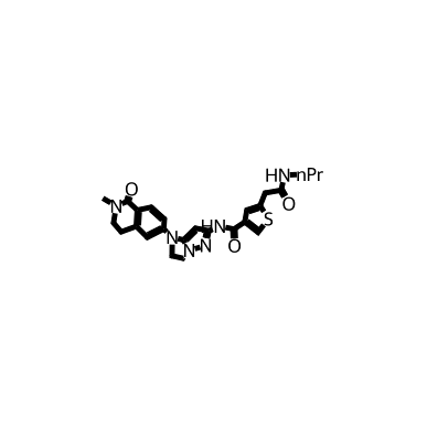 CCCNC(=O)Cc1cc(C(=O)Nc2cc3n(n2)CCN3c2ccc3c(c2)CCN(C)C3=O)cs1